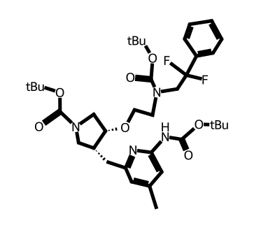 Cc1cc(C[C@@H]2CN(C(=O)OC(C)(C)C)C[C@@H]2OCCN(CC(F)(F)c2ccccc2)C(=O)OC(C)(C)C)nc(NC(=O)OC(C)(C)C)c1